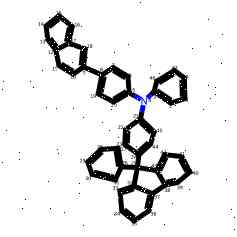 c1ccc(N(c2ccc(-c3ccc4ccccc4c3)cc2)c2ccc(C3(c4ccccc4)c4ccccc4-c4ccccc43)cc2)cc1